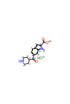 COC(=O)c1cc2ccc(C(=O)C3CCNCC3)cc2n1C.Cl